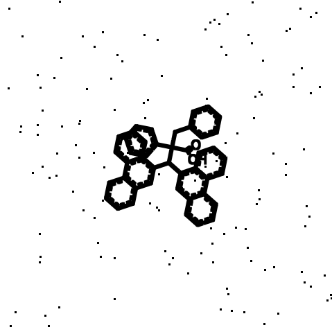 O=C(O)C(Cc1ccccc1)(c1ccccc1)C(c1cc2ccccc2c2ccccc12)c1cc2ccccc2c2ccccc12